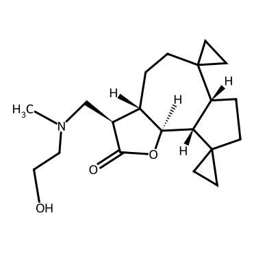 CN(CCO)C[C@@H]1C(=O)O[C@H]2[C@H]1CCC1(CC1)[C@@H]1CCC3(CC3)[C@H]21